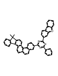 CC1(C)c2ccccc2-c2c1ccc1c2ccc2ccc3cc(-c4nc(-c5ccccc5)nc(-c5ccc6c(c5)oc5ccccc56)n4)ccc3c21